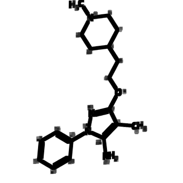 Cc1c(OCCC2CCN(C)CC2)nn(-c2ccccc2)c1N